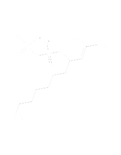 CCCCCCCC(C=C(C)C)OP(=O)(O)OP(=O)(O)O